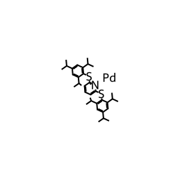 CC(C)c1cc(C(C)C)c(Sc2cccc(Sc3c(C(C)C)cc(C(C)C)cc3C(C)C)n2)c(C(C)C)c1.[Pd]